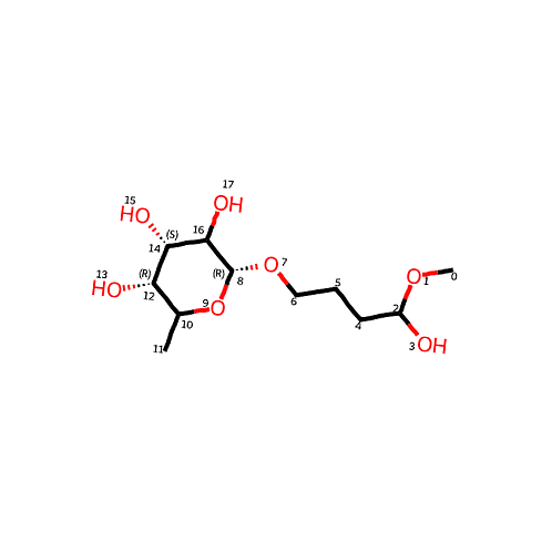 COC(O)CCCO[C@@H]1OC(C)[C@H](O)[C@H](O)C1O